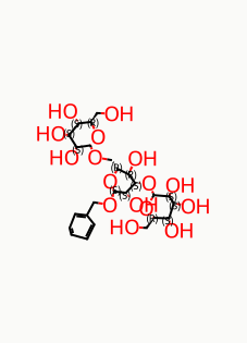 OC[C@H]1OC(OC[C@H]2O[C@H](OCc3ccccc3)[C@@H](O)[C@@H](OC3O[C@H](CO)[C@@H](O)[C@H](O)[C@@H]3O)[C@@H]2O)[C@@H](O)[C@@H](O)[C@@H]1O